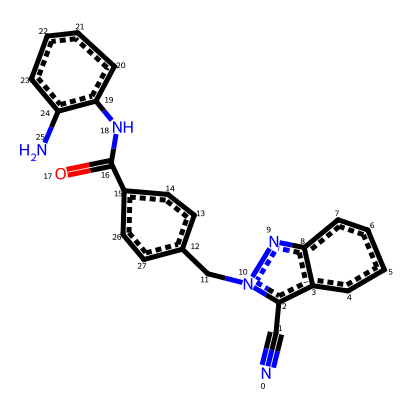 N#Cc1c2ccccc2nn1Cc1ccc(C(=O)Nc2ccccc2N)cc1